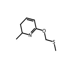 CSCOC1=NC(C)CC=C1